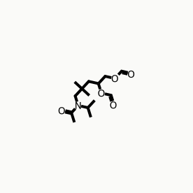 CC(=O)N(CC(C)(C)CC(COC=O)OC=O)C(C)C